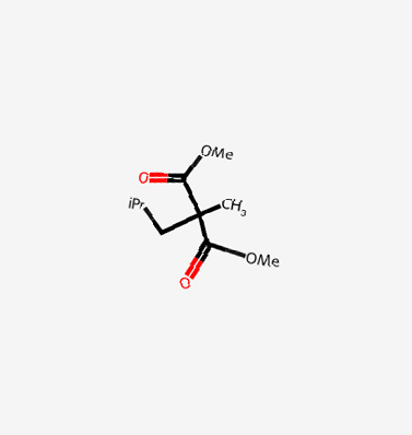 COC(=O)C(C)(CC(C)C)C(=O)OC